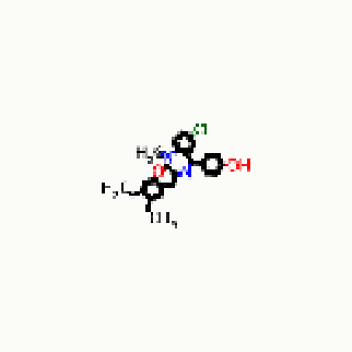 CCc1ccc(CC2N=C(c3ccc(O)cc3)c3cc(Cl)ccc3N(C)C2=O)cc1CC